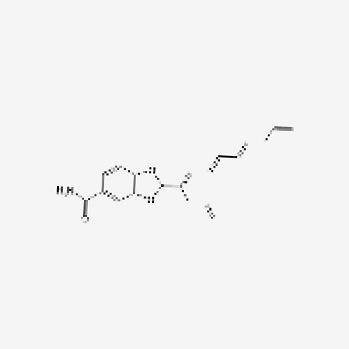 C=CCC=CC=CC=C(CC=C)C1Oc2ccc(C(N)=O)cc2O1